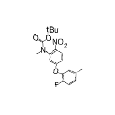 Cc1ccc(F)c(Oc2ccc([N+](=O)[O-])c(N(C)C(=O)OC(C)(C)C)c2)c1